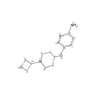 Nc1ccc(OC2CCN(C3COC3)CC2)nn1